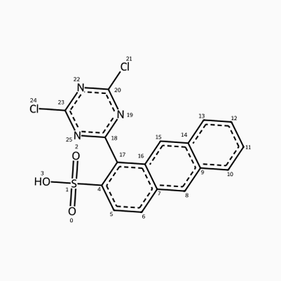 O=S(=O)(O)c1ccc2cc3ccccc3cc2c1-c1nc(Cl)nc(Cl)n1